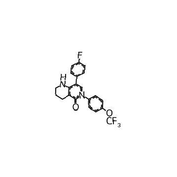 O=c1c2c(c(-c3ccc(F)cc3)cn1-c1ccc(OC(F)(F)F)cc1)NCCC2